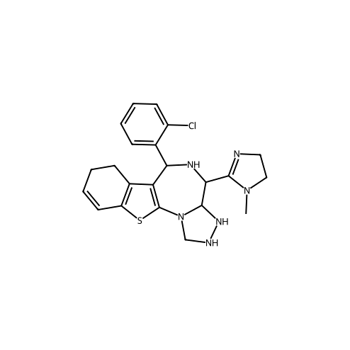 CN1CCN=C1C1NC(c2ccccc2Cl)c2c(sc3c2CCC=C3)N2CNNC12